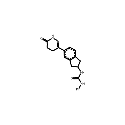 CCCNC(=O)NC1Cc2ccc(C3=NNC(=O)CC3)cc2C1